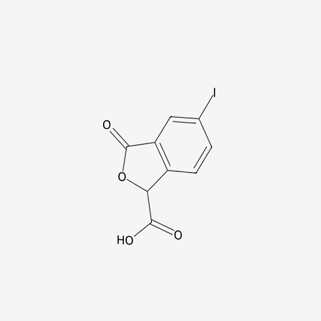 O=C1OC(C(=O)O)c2ccc(I)cc21